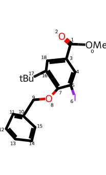 COC(=O)c1cc(I)c(OCc2ccccc2)c(C(C)(C)C)c1